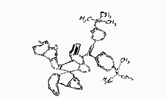 C[Si](C)(C)c1ccc(N(c2ccc([Si](C)(C)C)cc2)c2ccc3c4c(cccc24)C2(c4ccccc4-c4ccccc42)c2ccc4c(oc5ccccc54)c2-3)cc1